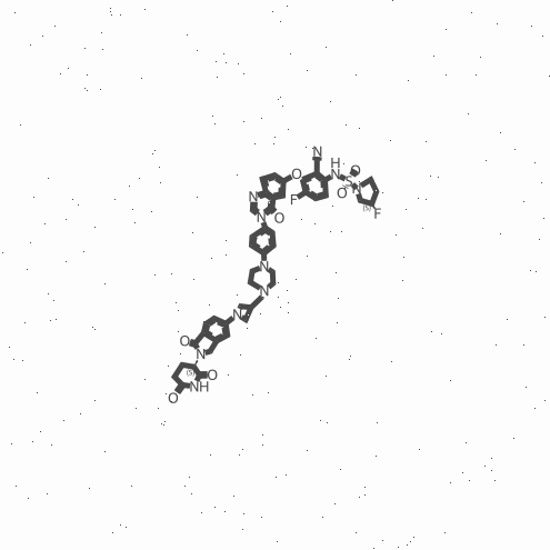 N#Cc1c(NS(=O)(=O)N2CC[C@H](F)C2)ccc(F)c1Oc1ccc2ncn(-c3ccc(N4CCN(CC5CN(c6ccc7c(c6)CN([C@H]6CCC(=O)NC6=O)C7=O)C5)CC4)cc3)c(=O)c2c1